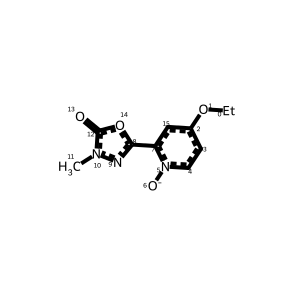 CCOc1cc[n+]([O-])c(-c2nn(C)c(=O)o2)c1